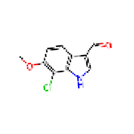 COc1ccc2c(C=O)c[nH]c2c1Cl